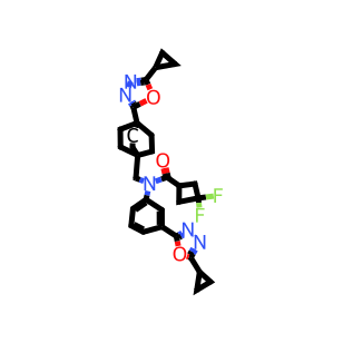 O=C(C1CC(F)(F)C1)N(CC12CCC(c3nnc(C4CC4)o3)(CC1)CC2)c1cccc(-c2nnc(C3CC3)o2)c1